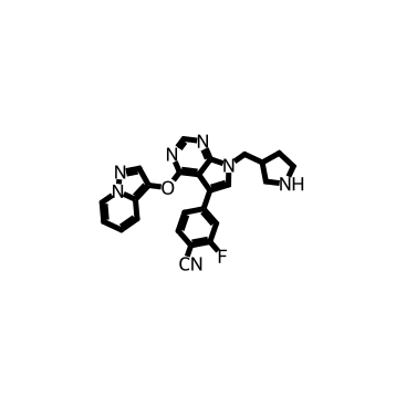 N#Cc1ccc(-c2cn(CC3CCNC3)c3ncnc(Oc4cnn5ccccc45)c23)cc1F